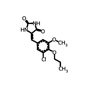 CCCOc1c(Cl)cc(/C=C2/NC(=O)NC2=O)cc1OC